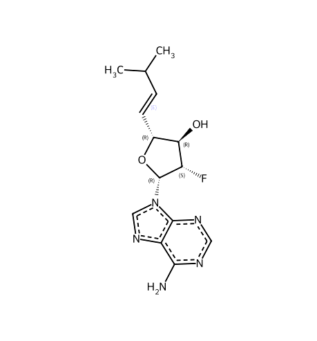 CC(C)/C=C/[C@H]1O[C@@H](n2cnc3c(N)ncnc32)[C@@H](F)[C@@H]1O